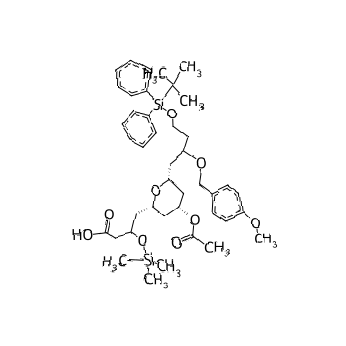 COc1ccc(COC(CCO[Si](c2ccccc2)(c2ccccc2)C(C)(C)C)C[C@@H]2C[C@H](OC(C)=O)C[C@H](CC(CC(=O)O)O[Si](C)(C)C)O2)cc1